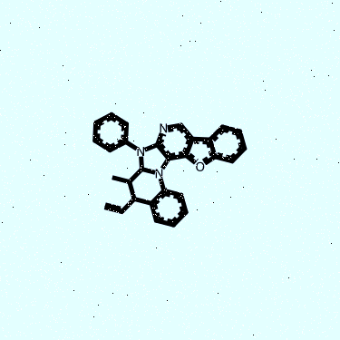 C=CC1c2ccccc2N2c3c(ncc4c3oc3ccccc34)N(c3ccccc3)C2C1C